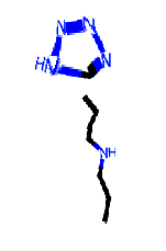 CCCNCCC.c1nnn[nH]1